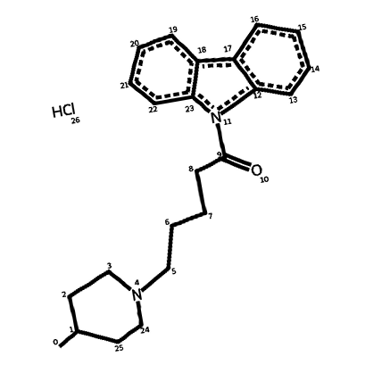 CC1CCN(CCCCC(=O)n2c3ccccc3c3ccccc32)CC1.Cl